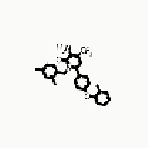 Cc1ccc(Cn2c(-c3ccc(Oc4ccccc4C)cc3)cc(C(F)(F)F)c(N)c2=O)c(C)c1